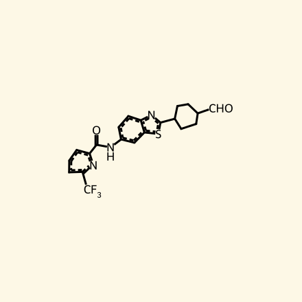 O=CC1CCC(c2nc3ccc(NC(=O)c4cccc(C(F)(F)F)n4)cc3s2)CC1